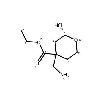 CCOC(=O)C1(CN)CCOCC1.Cl